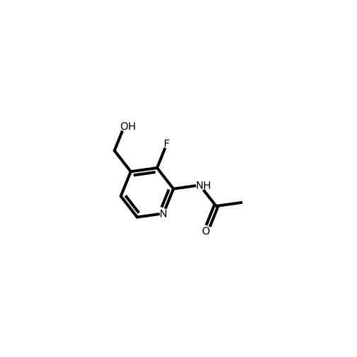 CC(=O)Nc1nccc(CO)c1F